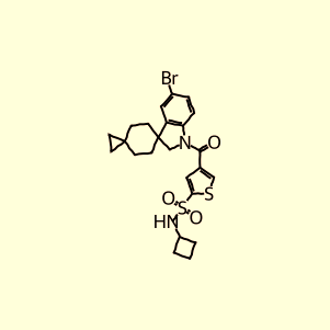 O=C(c1csc(S(=O)(=O)NC2CCC2)c1)N1CC2(CCC3(CC3)CC2)c2cc(Br)ccc21